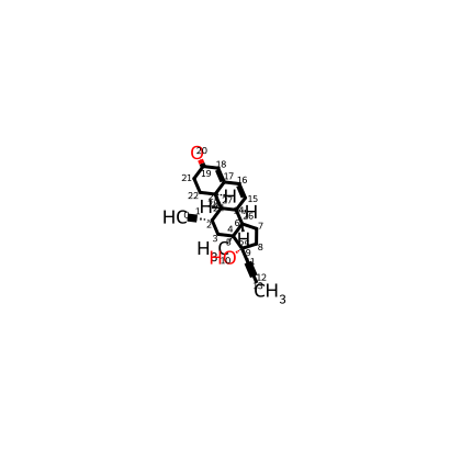 C#C[C@H]1C[C@@]2(C)[C@@H](CC[C@@]2(O)C#CC)[C@@H]2C=CC3=CC(=O)CC[C@@H]3[C@H]21